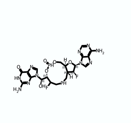 Nc1nc2c(ncn2[C@H](O)[C@@H]2O[PH](=O)OC[C@H]3O[C@@H](n4cnc5c(N)ncnc54)[C@@H](F)[C@@H]3CPCC2F)c(=O)[nH]1